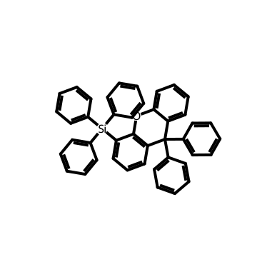 c1ccc(C2(c3ccccc3)c3ccccc3Oc3c2cccc3[Si](c2ccccc2)(c2ccccc2)c2ccccc2)cc1